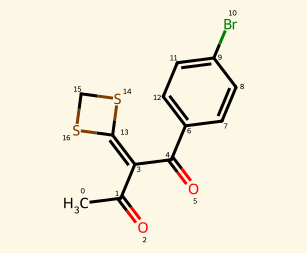 CC(=O)C(C(=O)c1ccc(Br)cc1)=C1SCS1